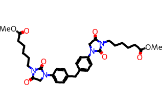 COC(=O)CCCCCN1C(=O)CN(c2ccc(Cc3ccc(N4CC(=O)N(CCCCCC(=O)OC)C4=O)cc3)cc2)C1=O